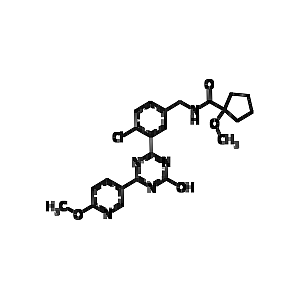 COc1ccc(-c2nc(O)nc(-c3cc(CNC(=O)C4(OC)CCCC4)ccc3Cl)n2)cn1